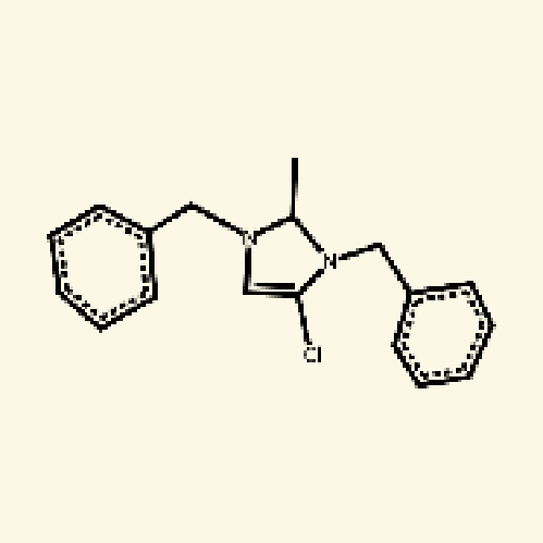 CC1N(Cc2ccccc2)C=C(Cl)N1Cc1ccccc1